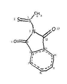 CS(=S)N1C(=O)c2ccccc2C1=O